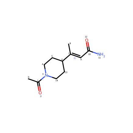 CC(=O)N1CCC(/C(C)=C/C(N)=O)CC1